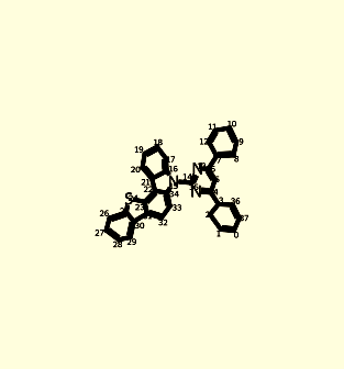 C1=CCC(c2cc(-c3ccccc3)nc(-n3c4ccccc4c4c5sc6ccccc6c5ccc43)n2)C=C1